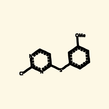 COc1cccc(Sc2ccnc(Cl)n2)c1